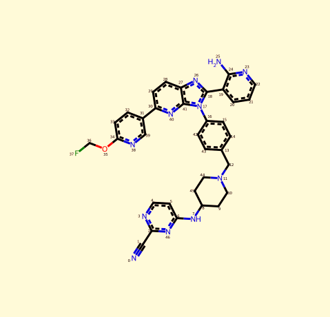 N#Cc1nccc(NC2CCN(Cc3ccc(-n4c(-c5cccnc5N)nc5ccc(-c6ccc(OCF)nc6)nc54)cc3)CC2)n1